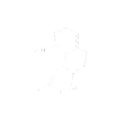 CC1CCc2cccc([N+](=O)[O-])c2C1C=C(F)F